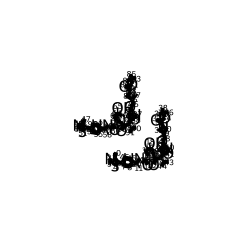 Cc1ncsc1-c1ccc([C@H](C)NC(=O)[C@@H]2C[C@@H](O)CN2C(=O)[C@@H](c2cc(OCC3CN(C(=O)OC(C)(C)C)C3)no2)C(C)C)cc1.Cc1ncsc1-c1ccc([C@H](C)NC(=O)[C@@H]2C[C@@H](O)CN2C(=O)[C@@H](c2cc(OCC3CN(C(=O)OC(C)(C)C)C3)no2)C(C)C)cc1